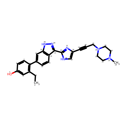 CCc1cc(O)ccc1-c1ccc2c(-c3nc(C#CCN4CCN(C)CC4)c[nH]3)n[nH]c2c1